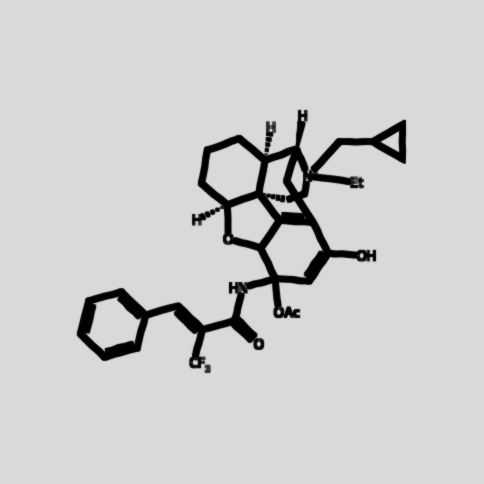 CC[N+]1(CC2CC2)CC[C@@]23C4=C5C[C@@H]1[C@@H]2CCC[C@@H]3OC4C(NC(=O)C(=Cc1ccccc1)C(F)(F)F)(OC(C)=O)C=C5O